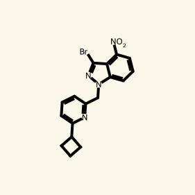 O=[N+]([O-])c1cccc2c1c(Br)nn2Cc1cccc(C2CCC2)n1